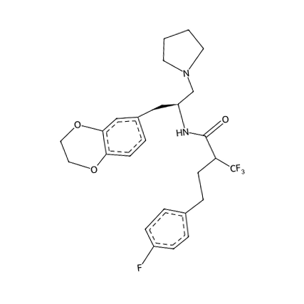 O=C(N[C@@H](Cc1ccc2c(c1)OCCO2)CN1CCCC1)C(CCc1ccc(F)cc1)C(F)(F)F